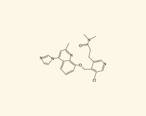 Cc1cc(-n2ccnc2)c2cccc(OCc3c(Cl)cncc3CCC(=O)N(C)C)c2n1